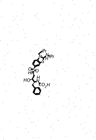 CC(C)CN1c2ccc(S(=O)(=O)NC[C@H](O)[C@H](Cc3ccccc3)NC(=O)O)cc2SC1NC(C)C